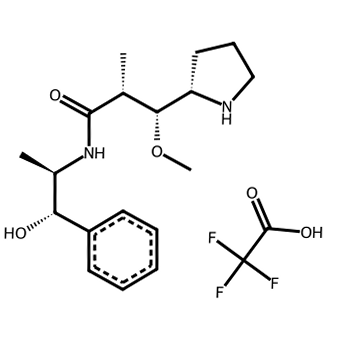 CO[C@@H]([C@@H]1CCCN1)[C@@H](C)C(=O)N[C@H](C)[C@@H](O)c1ccccc1.O=C(O)C(F)(F)F